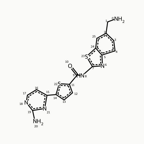 NCc1ccc2nc(NC(=O)c3ccc(-c4ccnc(N)n4)s3)sc2c1